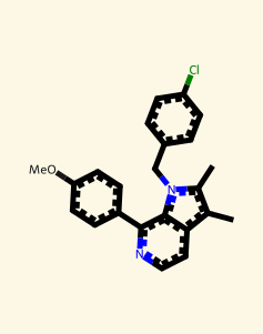 COc1ccc(-c2nccc3c(C)c(C)n(Cc4ccc(Cl)cc4)c23)cc1